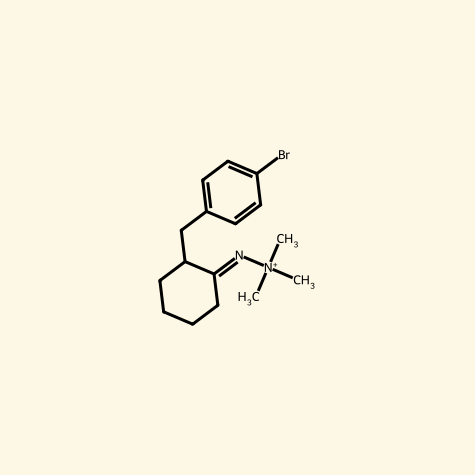 C[N+](C)(C)N=C1CCCCC1Cc1ccc(Br)cc1